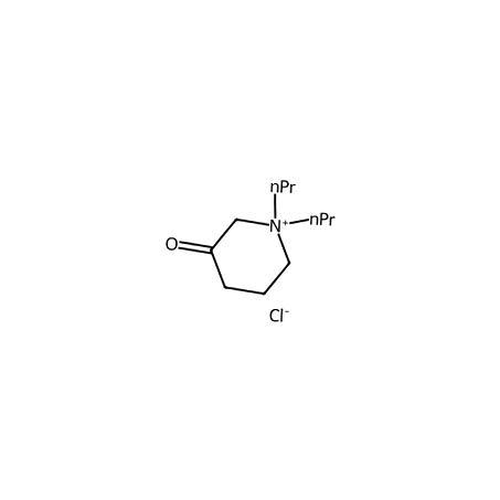 CCC[N+]1(CCC)CCCC(=O)C1.[Cl-]